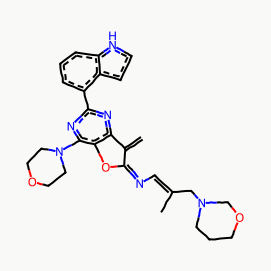 C=C1/C(=N\C=C(/C)CN2CCCOC2)Oc2c1nc(-c1cccc3[nH]ccc13)nc2N1CCOCC1